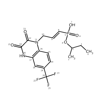 CCC(C)OP(=O)(O)C=CCn1c(=O)c(=O)[nH]c2cc(C(F)(F)F)ccc21